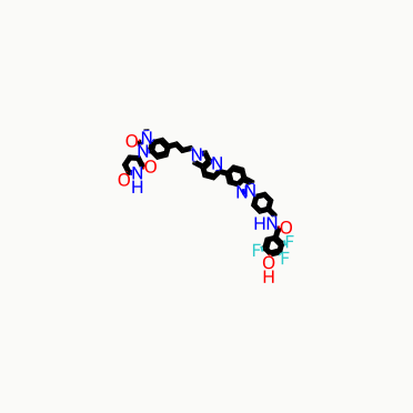 Cn1c(=O)n([C@@H]2CCC(=O)NC2=O)c2ccc(CCCN3Cc4ccc(-c5ccc6cn(C7CCC(CNC(=O)c8cc(F)c(O)c(F)c8F)CC7)nc6c5)nc4C3)cc21